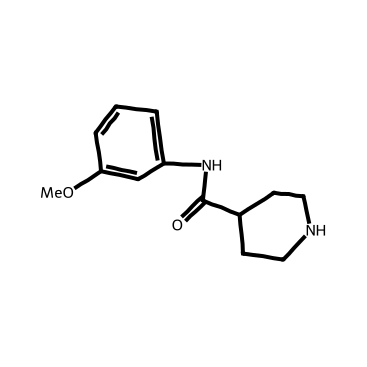 COc1cccc(NC(=O)C2CCNCC2)c1